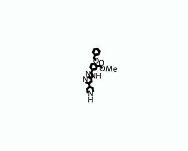 COC(=O)c1cc(-c2nc3ncc(C4CCNCC4)cc3[nH]2)ccc1OCc1ccccc1